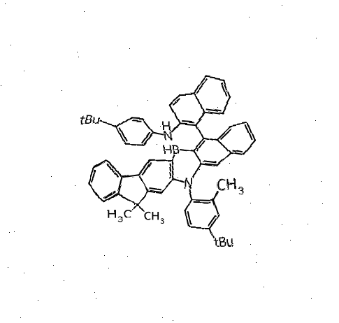 Cc1cc(C(C)(C)C)ccc1N1c2cc3c(cc2Bc2c1cc1ccccc1c2-c1c(Nc2ccc(C(C)(C)C)cc2)ccc2ccccc12)-c1ccccc1C3(C)C